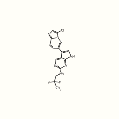 CC(F)(F)CNc1ncc2c(-c3ccc4ncc(Cl)n4n3)c[nH]c2n1